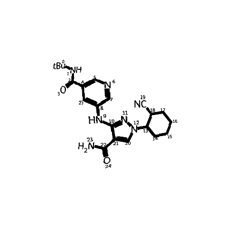 CC(C)(C)NC(=O)c1cncc(Nc2nn(C3CCCCC3C#N)cc2C(N)=O)c1